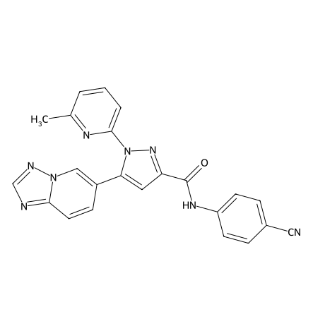 Cc1cccc(-n2nc(C(=O)Nc3ccc(C#N)cc3)cc2-c2ccc3ncnn3c2)n1